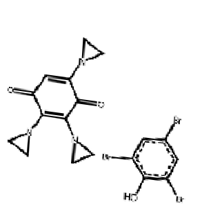 O=C1C=C(N2CC2)C(=O)C(N2CC2)=C1N1CC1.Oc1c(Br)cc(Br)cc1Br